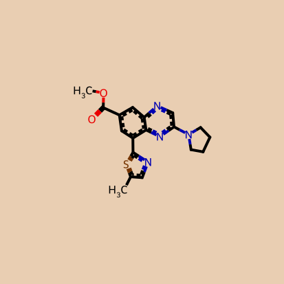 COC(=O)c1cc(-c2ncc(C)s2)c2nc(N3CCCC3)cnc2c1